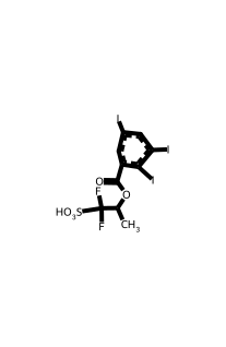 CC(OC(=O)c1cc(I)cc(I)c1I)C(F)(F)S(=O)(=O)O